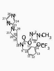 Cn1cnc(OC(=O)N(Cc2cccc(OC(F)(F)F)c2)CC2C3CN(c4cnccn4)CC23)c1